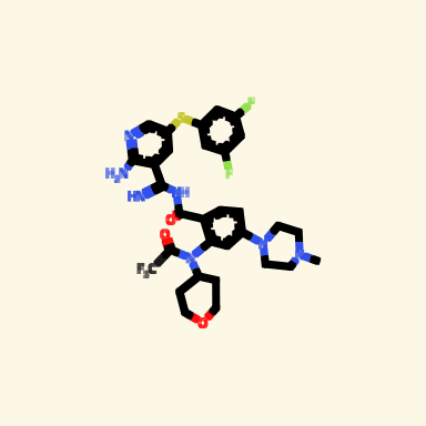 CN1CCN(c2ccc(C(=O)NC(=N)c3cc(Sc4cc(F)cc(F)c4)cnc3N)c(N(C(=O)C(F)(F)F)C3CCOCC3)c2)CC1